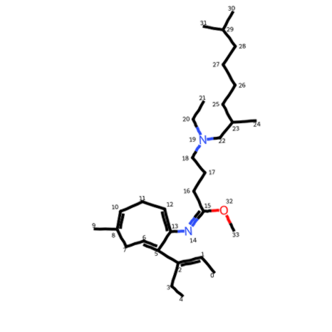 CC=C(CC)/C1=C\C/C(C)=C\C/C=C1/N=C(\CCCN(CC)CC(C)CCCCC(C)C)OC